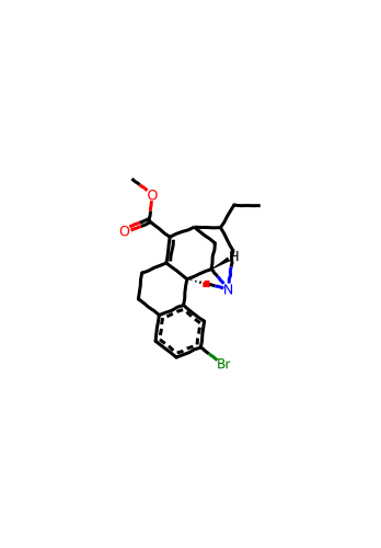 CCC1CN2CC[C@]34C(=C(C(=O)OC)C1C[C@H]23)CCc1ccc(Br)cc14